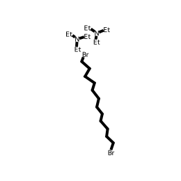 BrCCCCCCCCCCCCBr.CCN(CC)CC.CCN(CC)CC